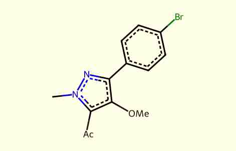 COc1c(-c2ccc(Br)cc2)nn(C)c1C(C)=O